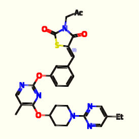 CCc1cnc(N2CCC(Oc3nc(Oc4cccc(/C=C5\SC(=O)N(CC(C)=O)C5=O)c4)ncc3C)CC2)nc1